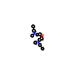 c1ccc(-c2ccc(N(c3ccccc3)c3ccc4c(ccc5oc6ccc7cc(N(c8ccccc8)c8ccc(-c9ccccc9)cc8)ccc7c6c54)c3)cc2)cc1